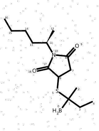 BC(C)(CC)SC1CC(=O)N([C@H](C)CCCC)C1=O